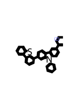 C=C(/C=C\C)c1ccc2c(c1)c1ccc(-c3cccc4c3sc3ccccc34)cc1n2-c1ccccc1